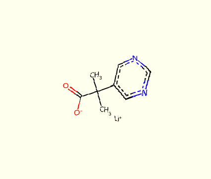 CC(C)(C(=O)[O-])c1cncnc1.[Li+]